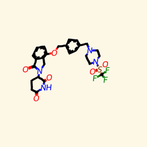 O=C1CCC(N2Cc3c(OCc4ccc(CN5CCN(S(=O)(=O)C(F)(F)F)CC5)cc4)cccc3C2=O)C(=O)N1